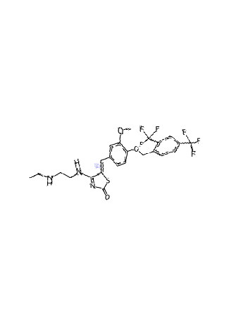 CCNCCNC1=NC(=O)S/C1=C\c1ccc(OCc2ccc(C(F)(F)F)cc2C(F)(F)F)c(OC)c1